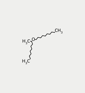 CCCCCCCCCCOC(C)CCCCCCCC